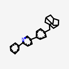 c1ccc(-c2ccc(-c3ccc(CC45CC6CC(CC(C6)C4)C5)cc3)cn2)cc1